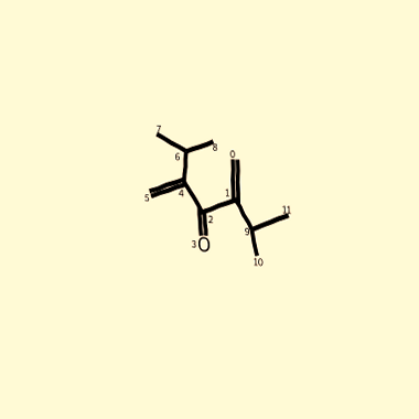 C=C(C(=O)C(=C)C(C)C)C(C)C